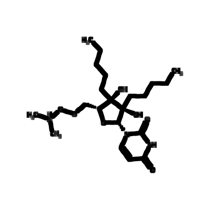 CCCCC[C@@]1(O)[C@@H](COO[SiH](C)C)O[C@@H](n2ccc(=O)[nH]c2=O)[C@@]1(O)CCCCC